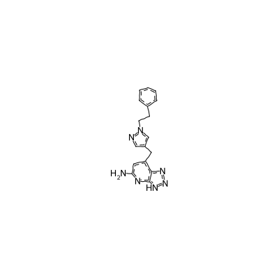 Nc1cc(Cc2cnn(CCc3ccccc3)c2)c2nn[nH]c2n1